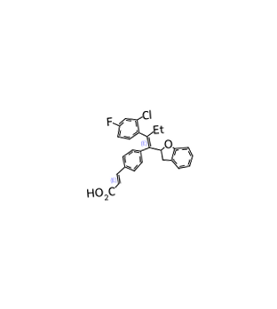 CC/C(=C(/c1ccc(/C=C/C(=O)O)cc1)C1Cc2ccccc2O1)c1ccc(F)cc1Cl